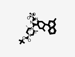 Cc1cc(C2Cc3nc(S(C)(=O)=O)nc(N4[C@@H](C)CN(C(=O)OC(C)(C)C)C[C@@H]4C)c3CC2C)c2ccccc2c1